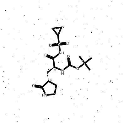 CC(C)(C)OC(=O)N[C@@H](C[C@@H]1CCNC1=O)C(=O)NS(=O)(=O)C1CC1